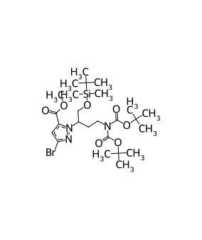 COC(=O)c1cc(Br)nn1C(CCN(C(=O)OC(C)(C)C)C(=O)OC(C)(C)C)CO[Si](C)(C)C(C)(C)C